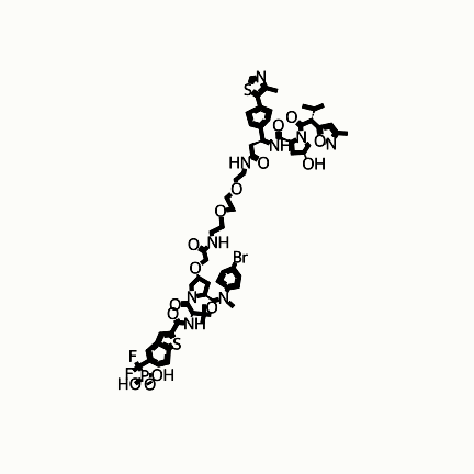 Cc1cc([C@H](C(=O)N2C[C@H](O)C[C@H]2C(=O)N[C@@H](CC(=O)NCCOCCOCCNC(=O)CO[C@@H]2C[C@@H](C(=O)N(C)c3ccc(Br)cc3)N(C(=O)[C@@H](NC(=O)c3cc4cc(C(F)(F)P(=O)(O)O)ccc4s3)C(C)(C)C)C2)c2ccc(-c3scnc3C)cc2)C(C)C)on1